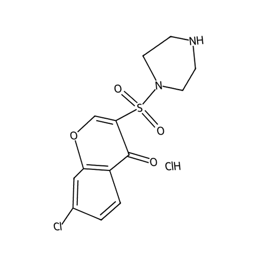 Cl.O=c1c(S(=O)(=O)N2CCNCC2)coc2cc(Cl)ccc12